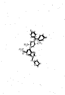 C[C@@H]1CN(c2cc(NN)nc3c2ncn3C[C@@H]2CCCO2)[C@@H](C)CN1C(c1ccc(F)cc1)c1ccc(F)cc1